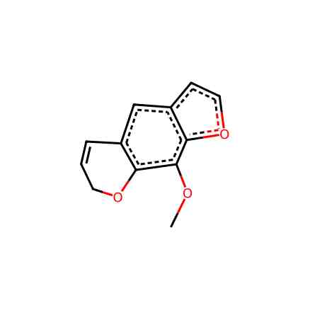 COc1c2c(cc3ccoc13)C=CCO2